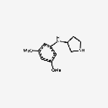 COc1cc(NC2CCNC2)cc(OC)c1